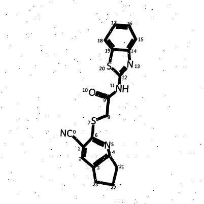 N#Cc1cc2c(nc1SCC(=O)Nc1nc3ccccc3s1)CCC2